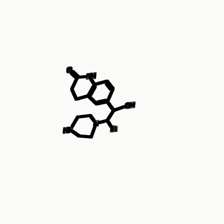 CCC(C(O)c1ccc2c(c1)CCC(=O)N2)N1CCNCC1